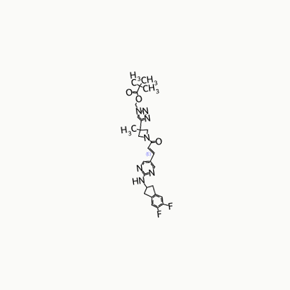 CC(C)(C)C(=O)OCn1cc(C2(C)CN(C(=O)/C=C/c3cnc(NC4Cc5cc(F)c(F)cc5C4)nc3)C2)nn1